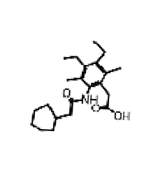 CCc1c(C)c(CC(=O)O)c(NC(=O)CC2CCCCC2)c(C)c1CC